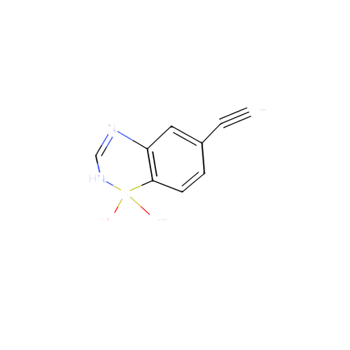 C#Cc1ccc2c(c1)N=CNS2(O)O